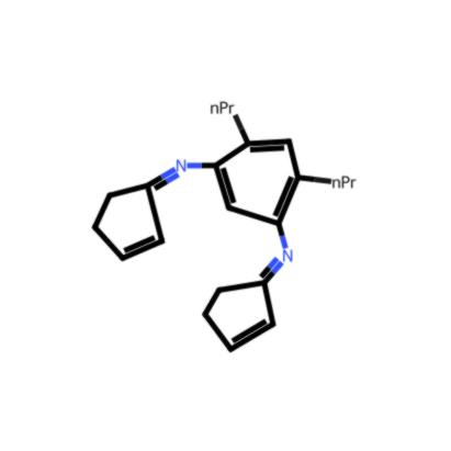 CCCc1cc(CCC)c(N=C2C=CCC2)cc1N=C1C=CCC1